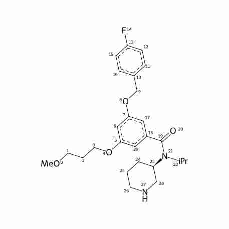 COCCCOc1cc(OCc2ccc(F)cc2)cc(C(=O)N(C(C)C)[C@@H]2CCCNC2)c1